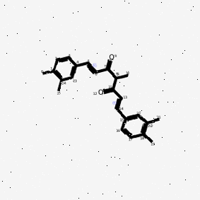 Cc1ccc(/C=C/C(=O)C(C)C(=O)/C=C/c2ccc(C)c(C)c2)cc1C